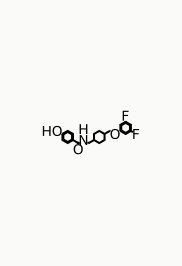 O=C(NCC1CCC(COc2cc(F)cc(F)c2)CC1)c1ccc(O)cc1